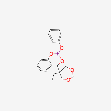 CCC1(COP(Oc2ccccc2)Oc2ccccc2)COCOC1